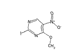 COc1nc(I)ncc1[N+](=O)[O-]